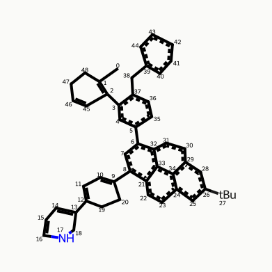 CC1=C(c2cc(-c3cc(C4=CC=C(C5=CC=CNC5)CC4)c4ccc5cc(C(C)(C)C)cc6ccc3c4c56)ccc2Cc2ccccc2)C=CCC1